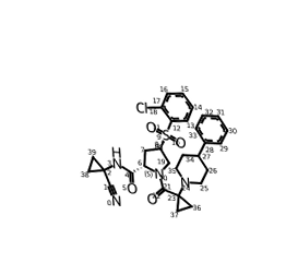 N#CC1(NC(=O)[C@@H]2C[C@@H](S(=O)(=O)c3ccccc3Cl)CN2C(=O)C2(N3CCC(c4ccccc4)CC3)CC2)CC1